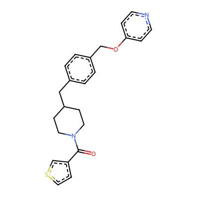 O=C(c1ccsc1)N1CCC(Cc2ccc(COc3ccncc3)cc2)CC1